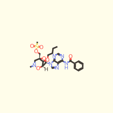 CCCCOC1[C@@H]2ON(C)C[C@]1(COS(C)(=O)=O)O[C@H]2n1cnc2c(NC(=O)c3ccccc3)ncnc21